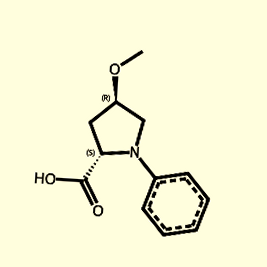 CO[C@@H]1C[C@@H](C(=O)O)N(c2ccccc2)C1